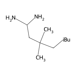 CCC(C)CC(C)(C)CC(N)N